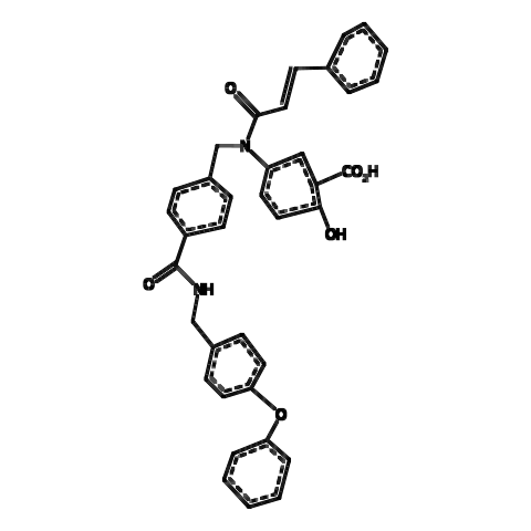 O=C(NCc1ccc(Oc2ccccc2)cc1)c1ccc(CN(C(=O)C=Cc2ccccc2)c2ccc(O)c(C(=O)O)c2)cc1